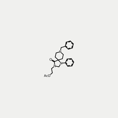 CC(=O)OCCN1CN(c2ccccc2)C2(CCN(Cc3ccccc3)CC2)C1=O